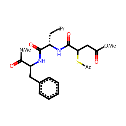 CNC(=O)[C@H](Cc1ccccc1)NC(=O)[C@H](CC(C)C)NC(=O)C(CC(=O)OC)SC(C)=O